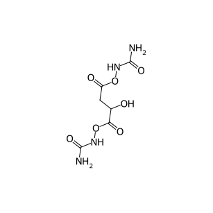 NC(=O)NOC(=O)CC(O)C(=O)ONC(N)=O